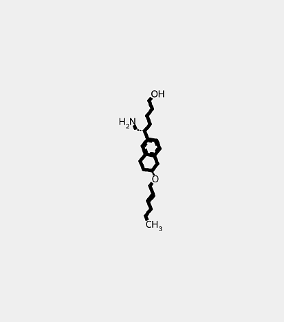 CCC/C=C/CO[C@H]1CCc2cc([C@H](CN)CCCCO)ccc2C1